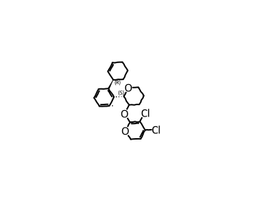 ClC1=CCOC(OC2CCCO[C@H]2c2[c]cccc2[C@H]2C=CCCC2)=C1Cl